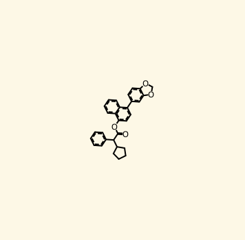 O=C(Oc1ccc(-c2ccc3c(c2)OCO3)c2ccccc12)C(c1ccccc1)C1CCCC1